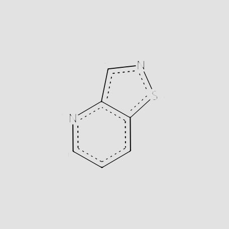 c1cnc2cnsc2c1